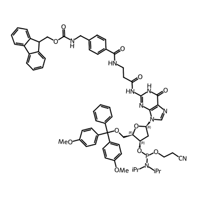 COc1ccc(C(OC[C@H]2O[C@@H](n3cnc4c(=O)[nH]c(NC(=O)CCNC(=O)c5ccc(CNC(=O)OCC6c7ccccc7-c7ccccc76)cc5)nc43)C[C@H]2OP(OCCC#N)N(C(C)C)C(C)C)(c2ccccc2)c2ccc(OC)cc2)cc1